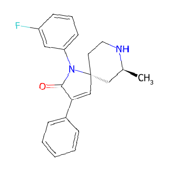 C[C@H]1C[C@@]2(C=C(c3ccccc3)C(=O)N2c2cccc(F)c2)CCN1